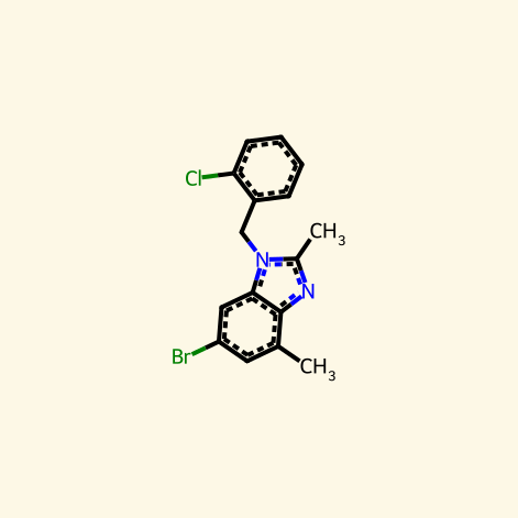 Cc1cc(Br)cc2c1nc(C)n2Cc1ccccc1Cl